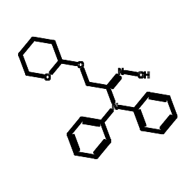 ON=C(COC1CCCCO1)N(c1ccccc1)c1ccccc1